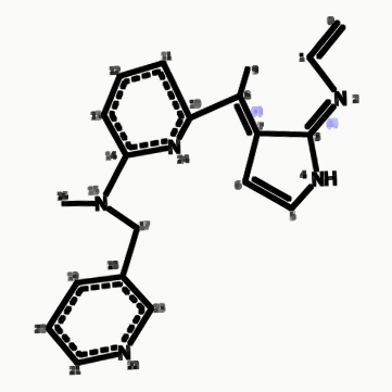 C=C/N=C1/NC=C/C1=C(/C)c1cccc(N(C)Cc2cccnc2)n1